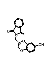 O=C1c2ccccc2C(=O)N1C[C@@H]1COc2ccc(O)cc2O1